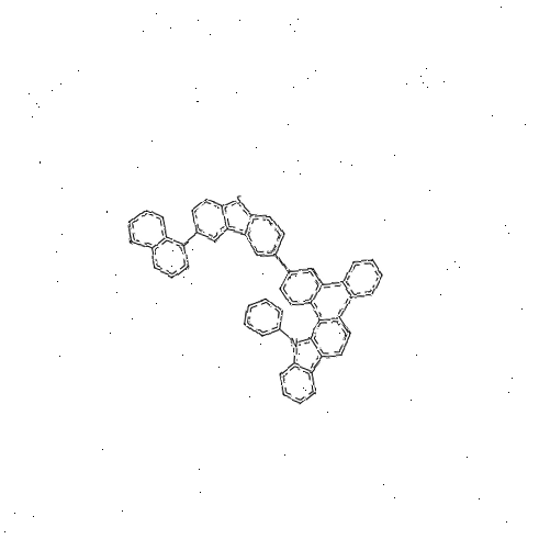 c1ccc(-n2c3ccccc3c3ccc4c5ccccc5c5cc(-c6ccc7sc8ccc(-c9cccc%10ccccc9%10)cc8c7c6)ccc5c4c32)cc1